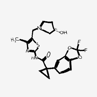 Cc1nc(NC(=O)C2(c3ccc4c(c3)OC(F)(F)O4)CC2)sc1CN1CC[C@H](O)C1